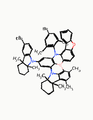 Cc1cc(C)c2c3c1B1c4ccc5oc6ccccc6c5c4N(c4c(C)cc(C(C)(C)C)cc4C)c4cc(N5c6ccc(C(C)(C)C)cc6C6(C)CCCCC56C)cc(c41)N3C1(C)CCCCC21C